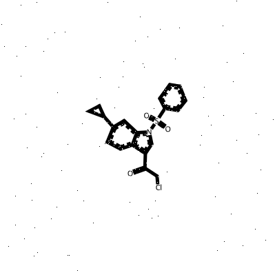 O=C(CCl)c1cn(S(=O)(=O)c2ccccc2)c2cc(C3CC3)ccc12